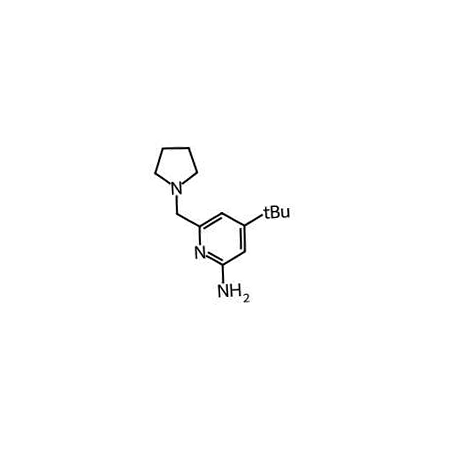 CC(C)(C)c1cc(N)nc(CN2CCCC2)c1